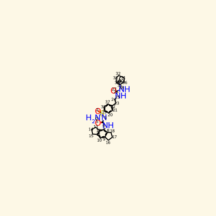 NS(=O)(=NC(=O)Nc1c2c(cc3c1CCC3)CCC2)c1ccc(CCNC(=O)NC2CC3CCC2CC3)cc1